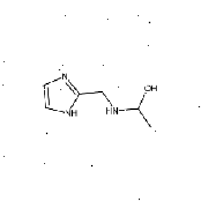 CC(O)NCc1ncc[nH]1